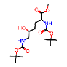 COC(=O)C(CCC(O)CNC(=O)OC(C)(C)C)NC(=O)OC(C)(C)C